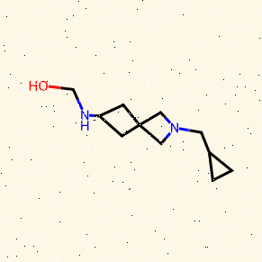 OCNC1CC2(C1)CN(CC1CC1)C2